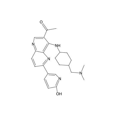 CC(=O)c1cnc2ccc(-c3ccc(O)nc3)nc2c1NC1CCC(CN(C)C)CC1